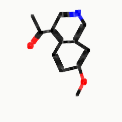 COc1ccc2c(C(C)=O)cncc2c1